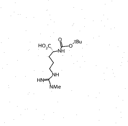 CNC(=N)NCCC[C@@H](NC(=O)OC(C)(C)C)C(=O)O